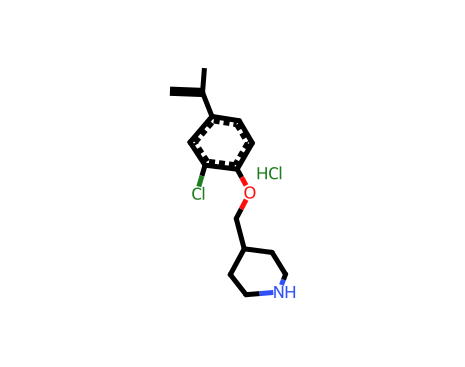 C=C(C)c1ccc(OCC2CCNCC2)c(Cl)c1.Cl